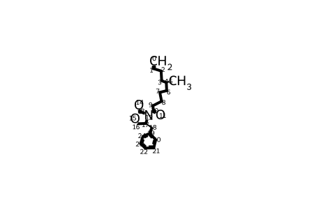 C=CCC[C@@H](C)CCCCC(=O)N1C(=O)OC[C@@H]1Cc1ccccc1